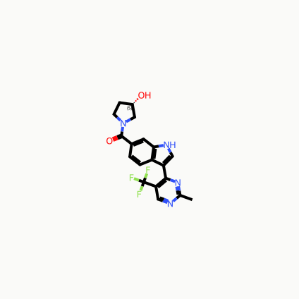 Cc1ncc(C(F)(F)F)c(-c2c[nH]c3cc(C(=O)N4CC[C@H](O)C4)ccc23)n1